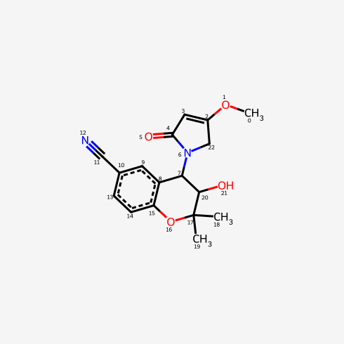 COC1=CC(=O)N(C2c3cc(C#N)ccc3OC(C)(C)C2O)C1